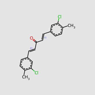 Cc1ccc(/C=C/C(=O)/C=C/c2ccc(C)c(Cl)c2)cc1Cl